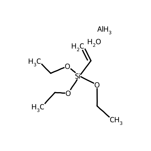 C=C[Si](OCC)(OCC)OCC.O.[AlH3]